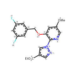 CCOC(=O)c1cnn(-c2ncc(OC)cc2OCc2cc(F)cc(F)c2)c1